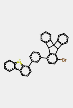 Brc1ccc(-c2cccc(-c3cccc4c3sc3ccccc34)c2)c2c1C1c3ccccc3C13c1ccccc1C23